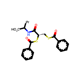 CC(C)C(NC(=O)[C@H](CSC(=O)c1ccccc1)SC(=O)c1ccccc1)C(=O)O